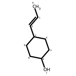 CC=CC1CCC(O)CC1